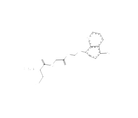 CC(=O)N[C@@H](CC(C)C)C(=O)NCC(=O)OCOc1ccc([N+](=O)[O-])c2cccnc12